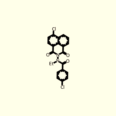 CCN(C(=O)c1ccc(Cl)cc1)N1C(=O)c2cccc3c(Cl)ccc(c23)C1=O